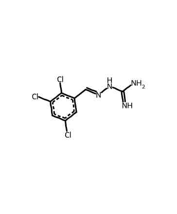 N=C(N)NN=Cc1cc(Cl)cc(Cl)c1Cl